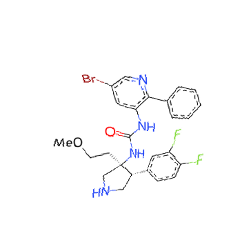 COCC[C@@]1(NC(=O)Nc2cc(Br)cnc2-c2ccccc2)CNC[C@H]1c1ccc(F)c(F)c1